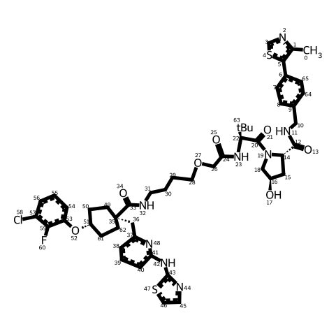 Cc1ncsc1-c1ccc(CNC(=O)[C@@H]2C[C@@H](O)CN2C(=O)[C@@H](NC(=O)COCCCCNC(=O)[C@]2(Cc3cccc(Nc4nccs4)n3)CC[C@@H](Oc3cccc(Cl)c3F)CC2)C(C)(C)C)cc1